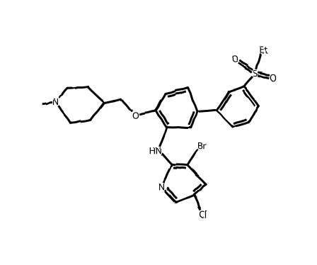 CCS(=O)(=O)c1cccc(-c2ccc(OCC3CCN(C)CC3)c(Nc3ncc(Cl)cc3Br)c2)c1